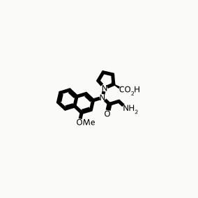 COc1cc(N(C(=O)CN)N2CCC[C@H]2C(=O)O)cc2ccccc12